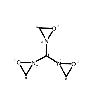 C1ON1C(N1CO1)N1CO1